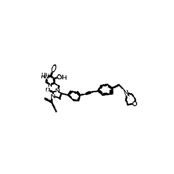 CC(C)N1CC(c2ccc(C#Cc3ccc(CN4CCOCC4)cc3)cc2)N(Cc2nc[nH]c(=O)c2O)C1=O